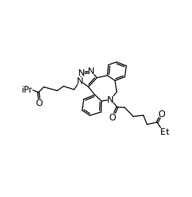 CCC(=O)CCCCC(=O)N1Cc2ccccc2-c2nnn(CCCCC(=O)C(C)C)c2-c2ccccc21